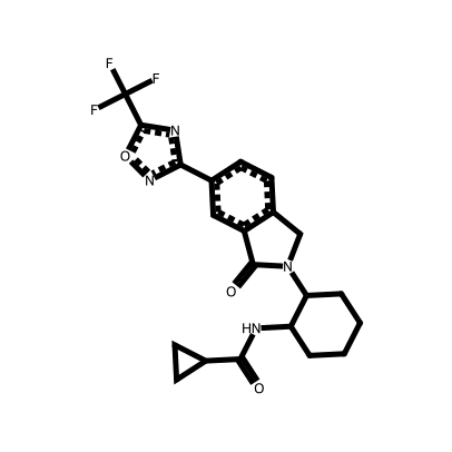 O=C(NC1CCCCC1N1Cc2ccc(-c3noc(C(F)(F)F)n3)cc2C1=O)C1CC1